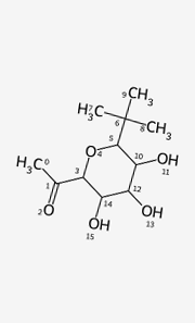 CC(=O)C1OC(C(C)(C)C)C(O)C(O)C1O